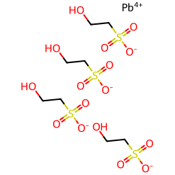 O=S(=O)([O-])CCO.O=S(=O)([O-])CCO.O=S(=O)([O-])CCO.O=S(=O)([O-])CCO.[Pb+4]